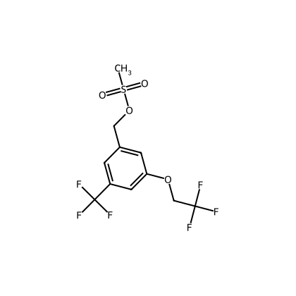 CS(=O)(=O)OCc1cc(OCC(F)(F)F)cc(C(F)(F)F)c1